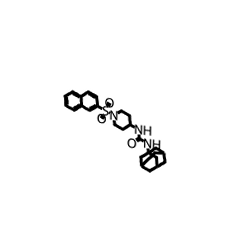 O=C(NC1CCN(S(=O)(=O)c2ccc3ccccc3c2)CC1)NC12CC3CC(CC(C3)C1)C2